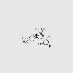 CC[Si](CC)(CC)OC(CNC1CCC(C)(C)CC1)c1c(Cl)cc(F)cc1CI